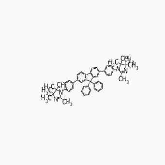 CC1=NC(C)(C)C(C)(C)N1c1ccc(-c2ccc3c(c2)C(c2ccccc2)(c2ccccc2)c2cc(-c4ccc(N5C(C)=NC(C)(C)C5(C)C)cc4)ccc2-3)cc1